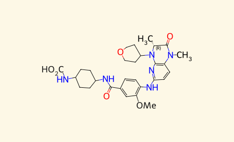 COc1cc(C(=O)NC2CCC(NC(=O)O)CC2)ccc1Nc1ccc2c(n1)N(C1CCOCC1)[C@H](C)C(=O)N2C